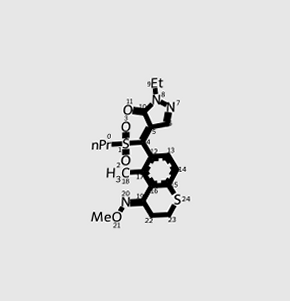 CCCS(=O)(=O)/C(=C1/C=NN(CC)C1=O)c1ccc2c(c1C)/C(=N/OC)CCS2